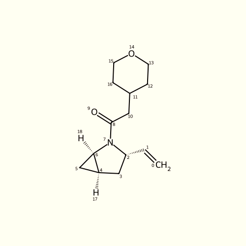 C=C[C@@H]1C[C@H]2C[C@H]2N1C(=O)CC1CCOCC1